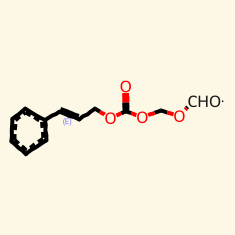 O=[C]OCOC(=O)OC/C=C/c1ccccc1